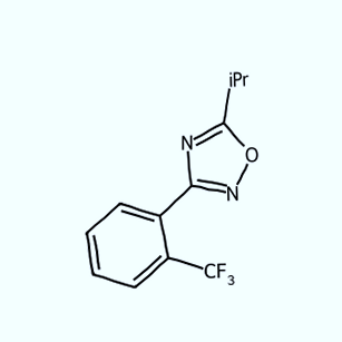 CC(C)c1nc(-c2ccccc2C(F)(F)F)no1